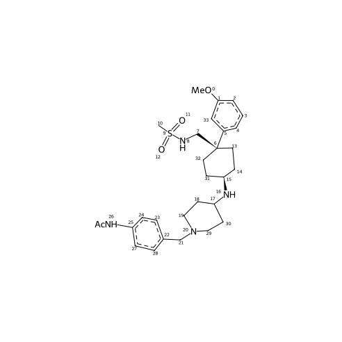 COc1cccc([C@]2(CNS(C)(=O)=O)CC[C@@H](NC3CCN(Cc4ccc(NC(C)=O)cc4)CC3)CC2)c1